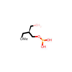 BC[C@H](COC)COP(O)O